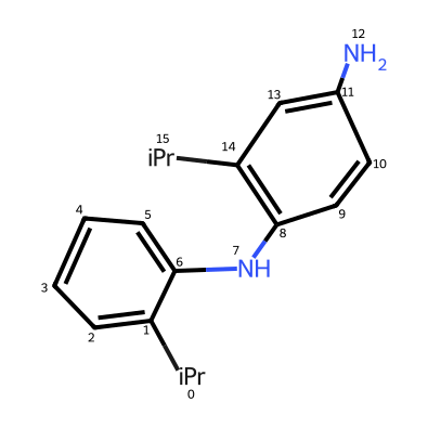 CC(C)c1ccccc1Nc1ccc(N)cc1C(C)C